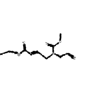 CCOC(=O)C=CCN(CC=O)C(=O)OC